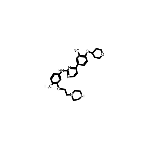 Cc1ccc(Nc2nccc(-c3ccc(OC4CCOCC4)c(C#N)c3)n2)cc1OCCN1CCNCC1